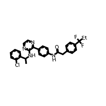 CCC(F)(F)c1ccc(CC(=O)Nc2ccc(-c3nccnc3NC(C)c3ccccc3Cl)cc2)cc1